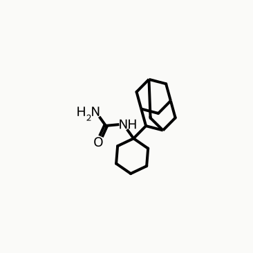 NC(=O)NC1(C2C3CC4CC(C3)CC2C4)CCCCC1